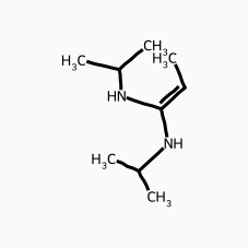 CC=C(NC(C)C)NC(C)C